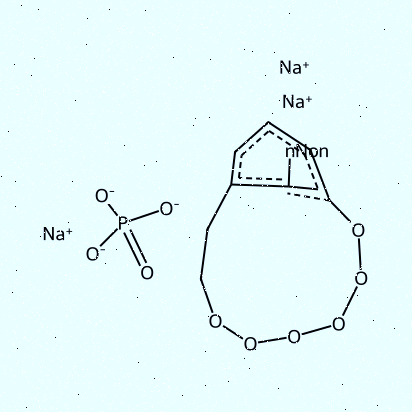 CCCCCCCCCc1c2cccc1OOOOOOCC2.O=P([O-])([O-])[O-].[Na+].[Na+].[Na+]